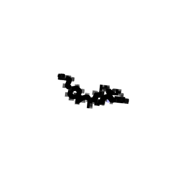 CN/C=C(\C(C)=N)c1cnc(NCC2CC23CCN(CCC(C)(C)C)CC3)cn1